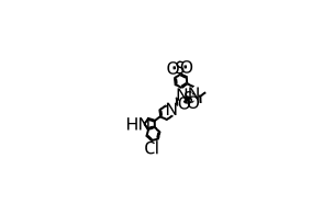 CC(C)N1Cc2cc(S(C)(=O)=O)ccc2N(CCN2CC=C(c3c[nH]c4cc(Cl)ccc34)CC2)S1(=O)=O